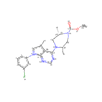 Cc1cn(-c2cccc(F)c2)c2ncnc(N3C[C@H](C)N(C(=O)OC(C)(C)C)CC3C)c12